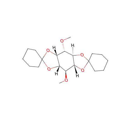 CO[C@@H]1[C@H]2OC3(CCCCC3)O[C@@H]2[C@@H](OC)[C@@H]2OC3(CCCCC3)O[C@H]12